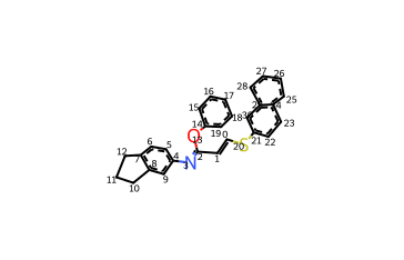 C(=CC(=Nc1ccc2c(c1)CCC2)Oc1ccccc1)Sc1ccc2ccccc2c1